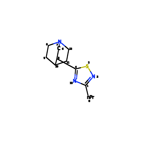 CCCc1nsc(C2CN3CCC2CC3)n1